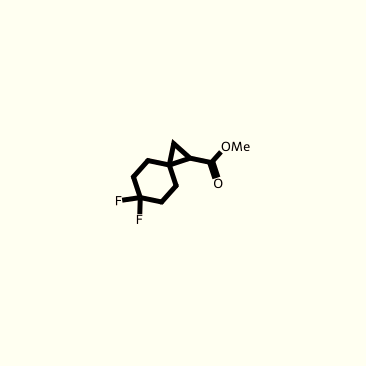 COC(=O)C1CC12CCC(F)(F)CC2